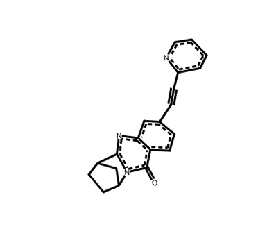 O=c1c2ccc(C#Cc3ccccn3)cc2nc2n1C1CCC2C1